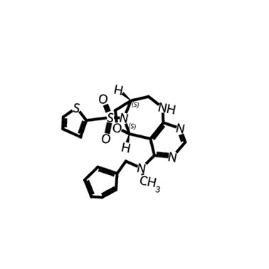 CN(Cc1ccccc1)c1ncnc2c1[C@@H]1OC[C@H](CN2)N1S(=O)(=O)c1cccs1